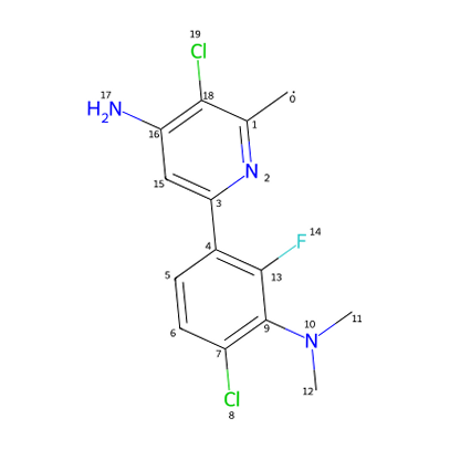 [CH2]c1nc(-c2ccc(Cl)c(N(C)C)c2F)cc(N)c1Cl